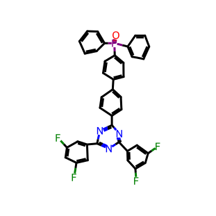 O=P(c1ccccc1)(c1ccccc1)c1ccc(-c2ccc(-c3nc(-c4cc(F)cc(F)c4)nc(-c4cc(F)cc(F)c4)n3)cc2)cc1